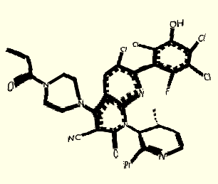 C=CC(=O)N1CCN(c2c(C#N)c(=O)n(C3C(C(C)C)=NC=C[C@H]3C)c3nc(-c4c(F)c(Cl)c(Cl)c(O)c4Cl)c(Cl)cc23)CC1